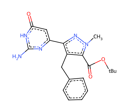 Cn1nc(-c2cc(=O)[nH]c(N)n2)c(Cc2ccccc2)c1C(=O)OC(C)(C)C